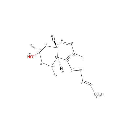 CC1=C(/C=C/C=C/C(=O)O)[C@H]2[C@H](C)C[C@@](C)(O)C[C@@H]2C=C1